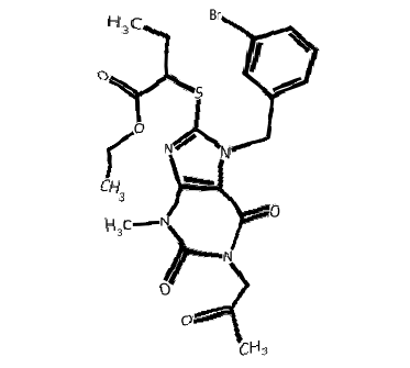 CCOC(=O)C(CC)Sc1nc2c(c(=O)n(CC(C)=O)c(=O)n2C)n1Cc1cccc(Br)c1